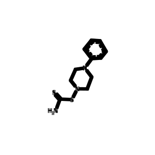 NC(=S)SN1CCN(c2ccccc2)CC1